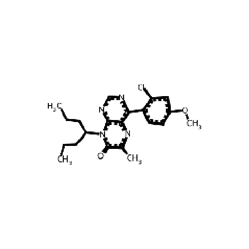 CCCC(CCC)n1c(=O)c(C)nc2c(-c3ccc(OC)cc3Cl)ncnc21